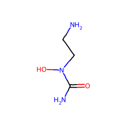 NCCN(O)C(N)=O